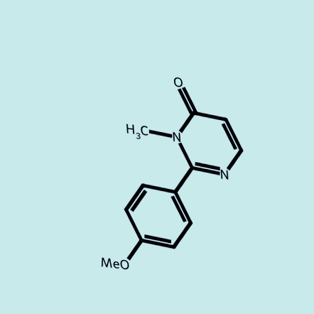 COc1ccc(-c2nccc(=O)n2C)cc1